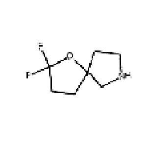 FC1(F)CCC2(CCNC2)O1